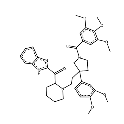 COc1ccc(C2(CCN3CCCCC3C(=O)c3nc4ccccc4[nH]3)CCN(C(=O)c3cc(OC)c(OC)c(OC)c3)C2)cc1OC